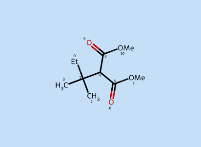 CCC(C)(C)C(C(=O)OC)C(=O)OC